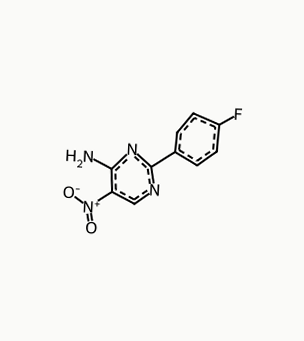 Nc1nc(-c2ccc(F)cc2)ncc1[N+](=O)[O-]